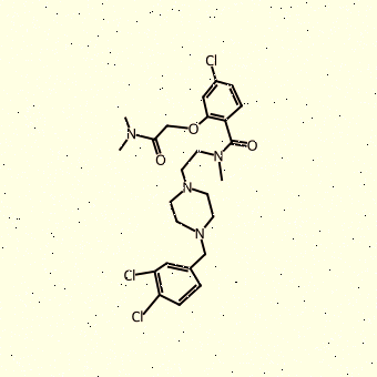 CN(C)C(=O)COc1cc(Cl)ccc1C(=O)N(C)CCN1CCN(Cc2ccc(Cl)c(Cl)c2)CC1